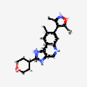 CCc1onc(C)c1-c1cc2ncc3nc(C4CCOCC4)[nH]c3c2cc1C